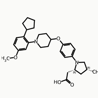 COc1ccc(C2CCCC2)c(N2CCC(Oc3ccc(N4C[C@H](C)C[C@@H]4CC(=O)O)cc3)CC2)c1